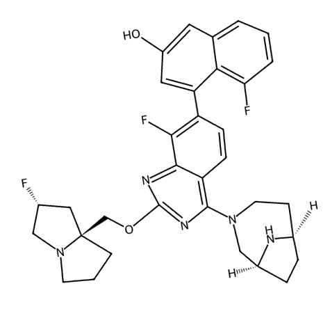 Oc1cc(-c2ccc3c(N4CC[C@H]5CC[C@@H](C4)N5)nc(OC[C@@]45CCCN4C[C@H](F)C5)nc3c2F)c2c(F)cccc2c1